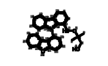 CC(C)(CO)OBc1cccc2c3ccccc3n(-c3cccc4oc5ccccc5c34)c12